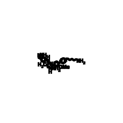 COc1cc(C2(N)N=C(Nc3ccc4cn[nH]c4c3)C(C)=CN2)ccc1N1CCN(CCCCCN)CC1